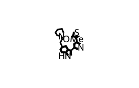 COC(Cc1ccc2[nH]cc(-c3cncc(-c4ccsc4)c3)c2c1)N1CCCCC1